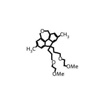 COCCOCCCC1(CCCOCCOC)c2cc(C)cc3c2-c2c(cc(C)cc21)COC3